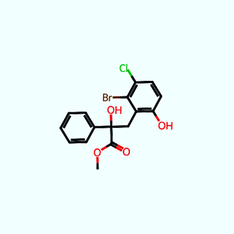 COC(=O)C(O)(Cc1c(O)ccc(Cl)c1Br)c1ccccc1